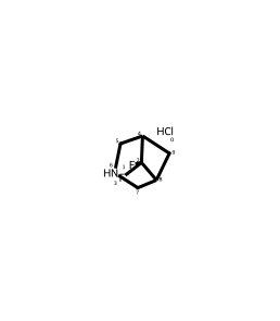 Cl.FC1(F)C2CNCC1C2